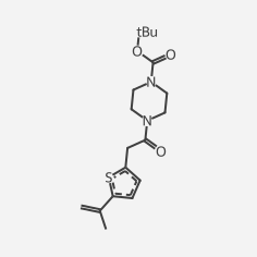 C=C(C)c1ccc(CC(=O)N2CCN(C(=O)OC(C)(C)C)CC2)s1